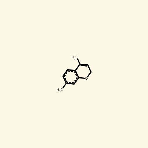 CC1=CCOc2cc(C)ccc21